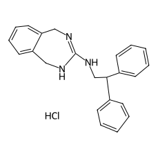 Cl.c1ccc(C(CNC2=NCc3ccccc3CN2)c2ccccc2)cc1